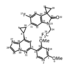 COc1ncc(-c2cc([C@H]3C[C@@H]3c3cc4c(cc3F)C3(CC3)C(=O)N4CC(F)(F)F)c3nccn3n2)c(OC)n1